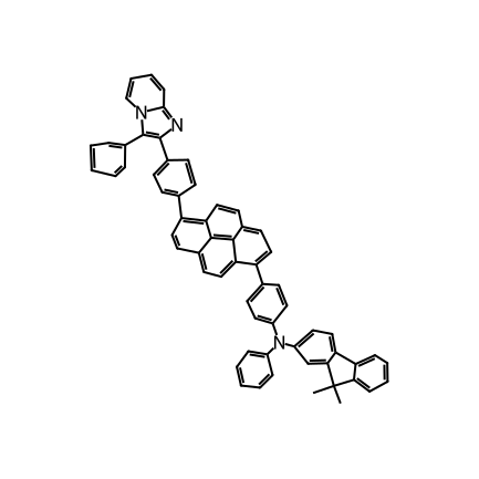 CC1(C)c2ccccc2-c2ccc(N(c3ccccc3)c3ccc(-c4ccc5ccc6c(-c7ccc(-c8nc9ccccn9c8-c8ccccc8)cc7)ccc7ccc4c5c76)cc3)cc21